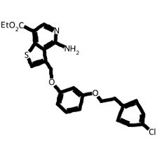 CCOC(=O)c1cnc(N)c2c(COc3cccc(OCCc4ccc(Cl)cc4)c3)csc12